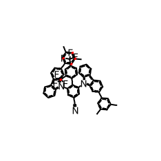 Cc1cc(C)cc(-c2ccc3c4ccccc4n(-c4cc(C#N)cc(-n5c6ccccc6c6ccc(-c7cc(C)cc(C)c7)cc65)c4-c4ccc(C(F)(F)F)cc4C(F)(F)F)c3c2)c1